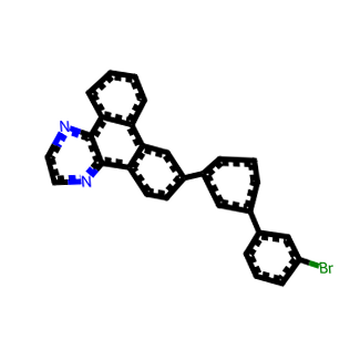 Brc1cccc(-c2cccc(-c3ccc4c(c3)c3ccccc3c3nccnc43)c2)c1